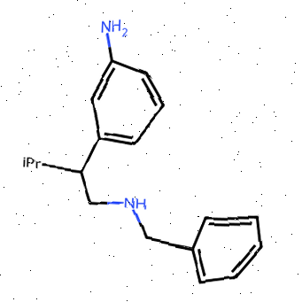 CC(C)C(CNCc1ccccc1)c1cccc(N)c1